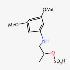 COc1cc(NCC(C)OS(=O)(=O)O)cc(OC)c1